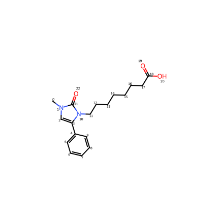 Cn1cc(-c2ccccc2)n(CCCCCCCC(=O)O)c1=O